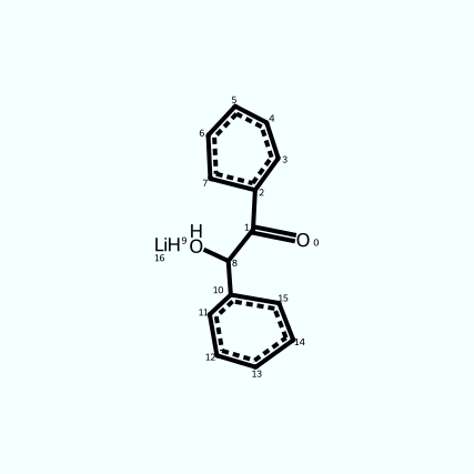 O=C(c1ccccc1)C(O)c1ccccc1.[LiH]